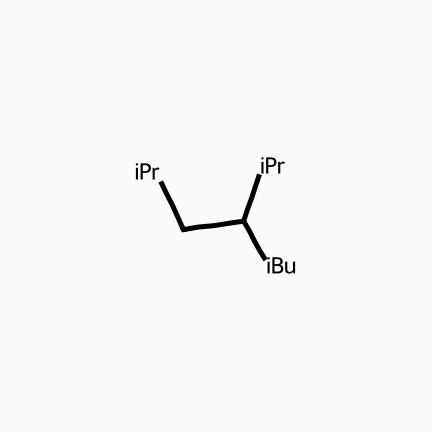 CCC(C)C(CC(C)C)C(C)C